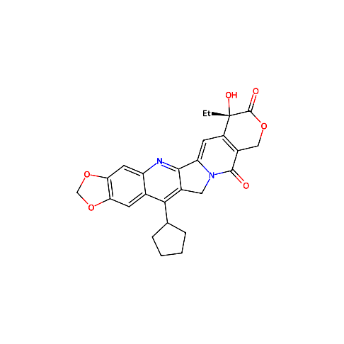 CC[C@@]1(O)C(=O)OCc2c1cc1n(c2=O)Cc2c-1nc1cc3c(cc1c2C1CCCC1)OCO3